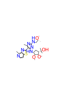 CO[C@@H]1[C@H](OC)[C@@H](C(C)(C)O)C[C@H]1Nc1nc(NC[C@@H](C)OC)nc(C)c1-c1nc2c(C)nccc2s1